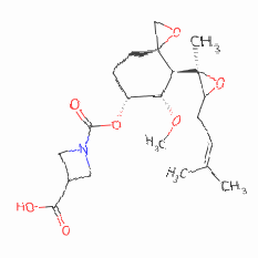 CO[C@@H]1[C@H](OC(=O)N2CC(C(=O)O)C2)CC[C@]2(CO2)[C@H]1[C@@]1(C)OC1CC=C(C)C